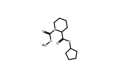 CC(C)(C)OC(=O)N1CCCCC1C(=O)OC1CCCC1